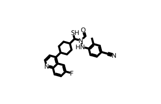 Cc1cc(C#N)ccc1NN(C=O)C(S)C1CCC(c2ccnc3ccc(F)cc23)CC1